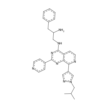 CC(C)Cn1cc(-c2nccc3c(NCC(N)Cc4ccccc4)nc(-c4ccncc4)nc23)cn1